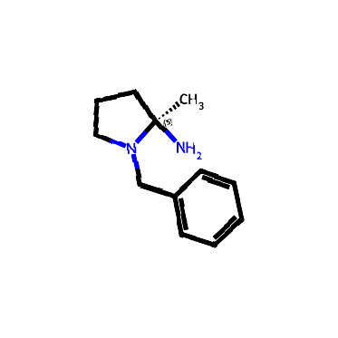 C[C@@]1(N)CCCN1Cc1ccccc1